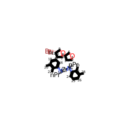 C1CCOC1.C1CCOC1.CCC[N]([Zr+2][N](CCC)c1cccc(C)c1C)c1cccc(C)c1C.[Br-].[Br-]